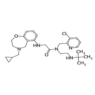 CC(C)(C)NCCN(Cc1ncccc1Cl)C(=O)CNc1cccc2c1CN(CC1CC1)CCO2